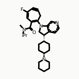 CC(C)N(C)C(=O)C1=C(N2CC([C@H]3CC[C@H](N4CCCCC4)CC3)c3ccncc32)CC#CC(F)=C1